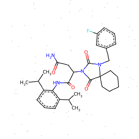 CC(C)c1cccc(C(C)C)c1NC(=O)C(CC(N)=O)N1C(=O)N(Cc2cccc(F)c2)C2(CCCCC2)C1=O